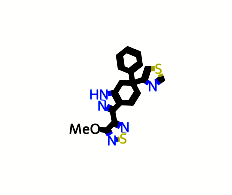 COc1nsnc1-c1n[nH]c2c1C=CC(c1ccccc1)(c1cscn1)C2